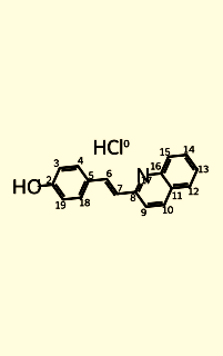 Cl.Oc1ccc(C=Cc2ccc3ccccc3n2)cc1